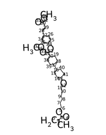 C=C(C)C(=O)OCCCCCCOC1CCC(C2CCC(C(=O)Oc3ccc(/C=C/C(=O)OC)cc3OC)CC2)CC1